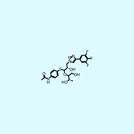 CC(=O)Nc1ccc(SC(OC(CO)[C@@H](C)O)[C@@H](O)Cn2cc(-c3cc(F)c(F)c(F)c3)nn2)cc1